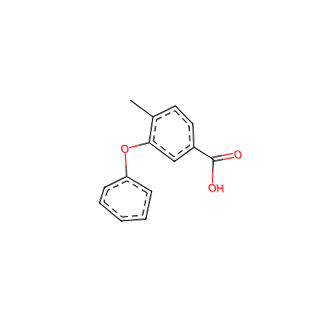 Cc1ccc(C(=O)O)cc1Oc1ccccc1